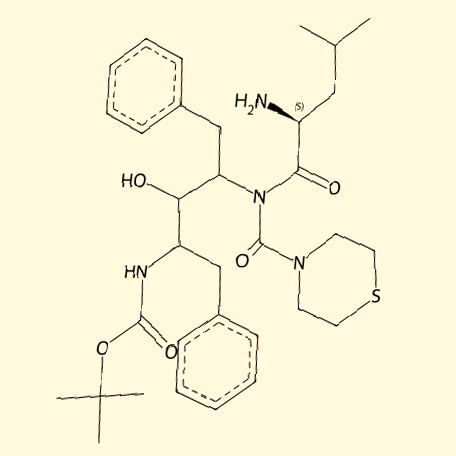 CC(C)C[C@H](N)C(=O)N(C(=O)N1CCSCC1)C(Cc1ccccc1)C(O)C(Cc1ccccc1)NC(=O)OC(C)(C)C